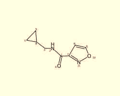 O=C(NCC1CC1)c1c[c]on1